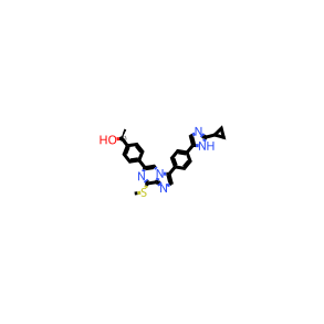 CSc1nc(-c2ccc([C@H](C)O)cc2)cn2c(-c3ccc(-c4cnc(C5CC5)[nH]4)cc3)cnc12